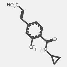 O=C(O)C=Cc1ccc(C(=O)NC2CC2)c(C(F)(F)F)c1